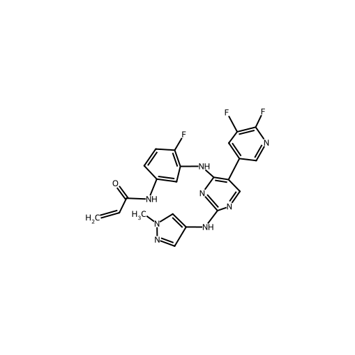 C=CC(=O)Nc1ccc(F)c(Nc2nc(Nc3cnn(C)c3)ncc2-c2cnc(F)c(F)c2)c1